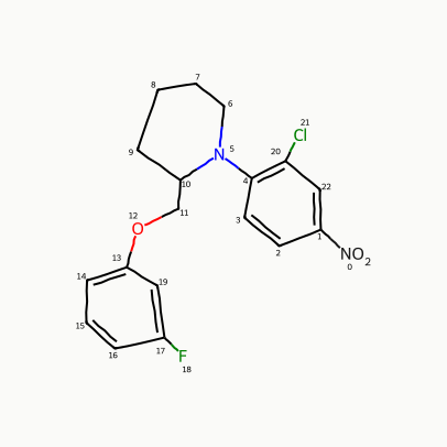 O=[N+]([O-])c1ccc(N2CCCCC2COc2cccc(F)c2)c(Cl)c1